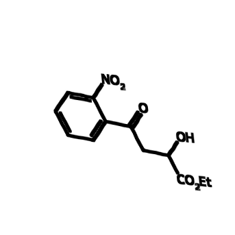 CCOC(=O)C(O)CC(=O)c1ccccc1[N+](=O)[O-]